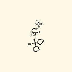 CC(C)(C)[Si](OC[C@@H]1[C@@H]2CC=C(OS(=O)(=O)C(F)(F)F)[C@H]12)(c1ccccc1)c1ccccc1